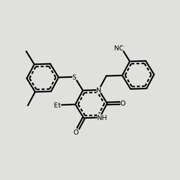 CCc1c(Sc2cc(C)cc(C)c2)n(Cc2ccccc2C#N)c(=O)[nH]c1=O